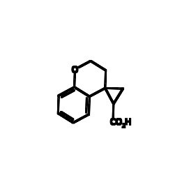 O=C(O)C1CC12CCOc1ccccc12